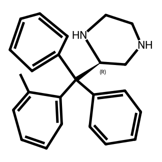 Cc1ccccc1C(c1ccccc1)(c1ccccc1)[C@@H]1CNCCN1